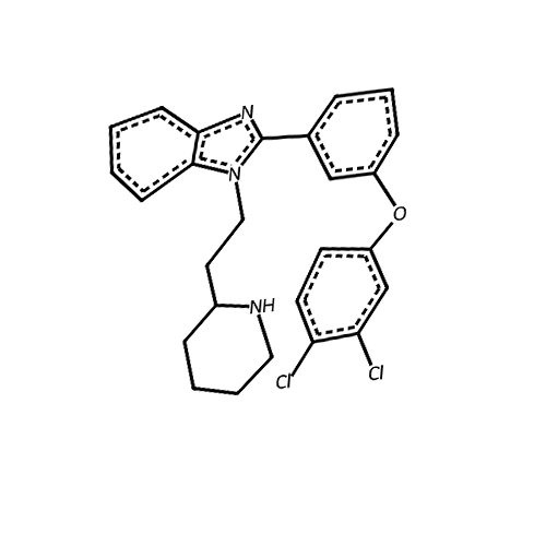 Clc1ccc(Oc2cccc(-c3nc4ccccc4n3CCC3CCCCN3)c2)cc1Cl